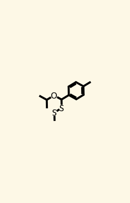 CSSC(OC(C)C)c1ccc(C)cc1